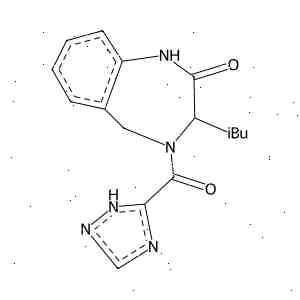 CCC(C)C1C(=O)Nc2ccccc2CN1C(=O)c1ncn[nH]1